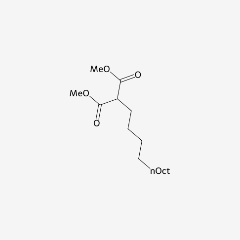 CCCCCCCCCCCCC(C(=O)OC)C(=O)OC